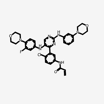 C=CC(=O)Nc1ccc(Cl)c(-c2nc(Nc3cccc(N4CCOCC4)c3)ncc2Nc2ccc(N3CCOCC3)c(F)c2)c1